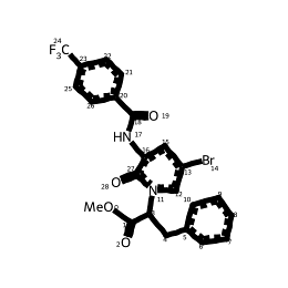 COC(=O)C(Cc1ccccc1)n1cc(Br)cc(NC(=O)c2ccc(C(F)(F)F)cc2)c1=O